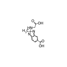 CC1(NCC(=O)O)N=c2ccc(C(=O)O)cc2=N1